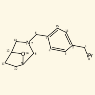 CC(C)Cc1ccc(CN2CC3CCC(C2)O3)cc1